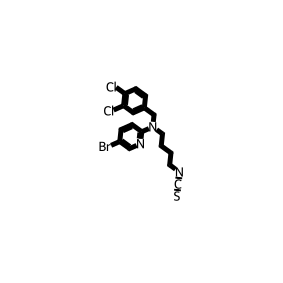 S=C=NCCCCN(Cc1ccc(Cl)c(Cl)c1)c1ccc(Br)cn1